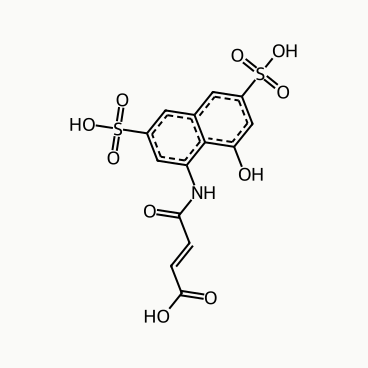 O=C(O)C=CC(=O)Nc1cc(S(=O)(=O)O)cc2cc(S(=O)(=O)O)cc(O)c12